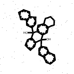 OC1(c2ccc3ccccc3c2)c2ccccc2C(O)(c2ccc3ccccc3c2)c2cc3c(cc21)CCCC3